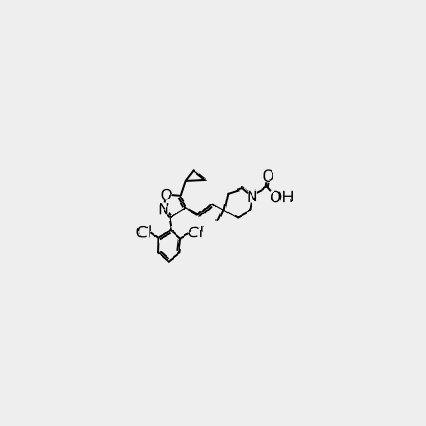 CC1(C=Cc2c(-c3c(Cl)cccc3Cl)noc2C2CC2)CCN(C(=O)O)CC1